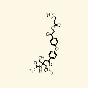 CCCC(=O)OCC(=O)c1ccc(Oc2ccc(C(=O)CC(CC)(CC)NC(C)=O)cc2)cc1